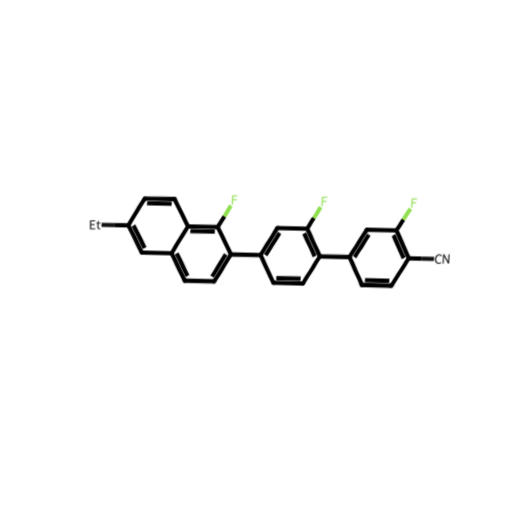 CCc1ccc2c(F)c(-c3ccc(-c4ccc(C#N)c(F)c4)c(F)c3)ccc2c1